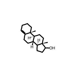 C[C@]12CCCC=C1CC[C@@H]1[C@@H]2CC[C@]2(C)C(O)CC[C@@H]12